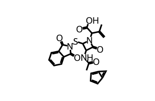 C=C(C)C(C(=O)O)N1C(=O)C(NC(C)=O)C1SN1C(=O)c2ccccc2C1=O.c1cc2cc-2c1